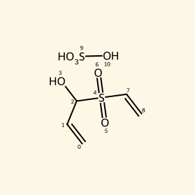 C=CC(O)S(=O)(=O)C=C.O=S(=O)(O)O